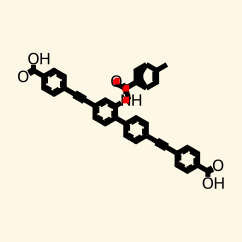 CC1=CC2C(C(=O)Nc3cc(C#Cc4ccc(C(=O)O)cc4)ccc3-c3ccc(C#Cc4ccc(C(=O)O)cc4)cc3)=CC1CC2C(C)C